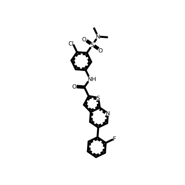 CN(C)S(=O)(=O)c1cc(NC(=O)c2cc3cc(-c4ccccc4F)cnc3s2)ccc1Cl